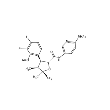 COc1c([C@H]2[C@H](C(=O)Nc3ccc(NC(C)=O)nc3)O[C@@](C)(C(F)(F)F)[C@H]2C)ccc(F)c1F